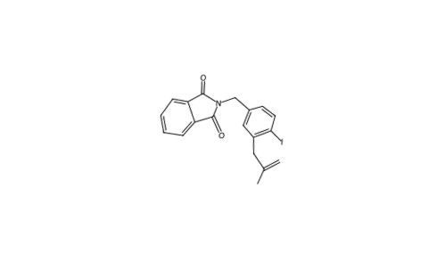 C=C(C)Cc1cc(CN2C(=O)c3ccccc3C2=O)ccc1I